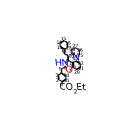 CCOC(=O)c1ccc(CC(=O)NC(=CCc2ccccc2)c2ccccc2N2CCCCC2)cc1